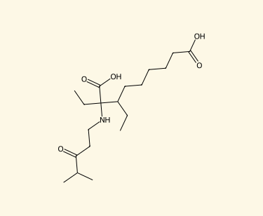 CCC(CCCCCC(=O)O)C(CC)(NCCC(=O)C(C)C)C(=O)O